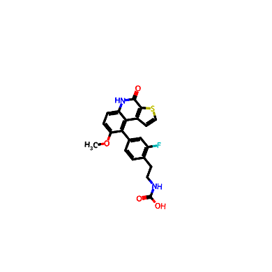 COc1ccc2[nH]c(=O)c3sccc3c2c1-c1ccc(CCNC(=O)O)c(F)c1